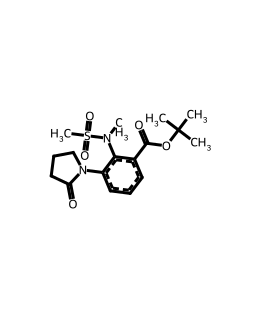 CN(c1c(C(=O)OC(C)(C)C)cccc1N1CCCC1=O)S(C)(=O)=O